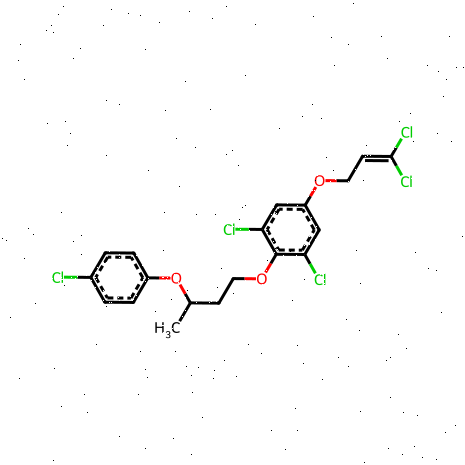 CC(CCOc1c(Cl)cc(OCC=C(Cl)Cl)cc1Cl)Oc1ccc(Cl)cc1